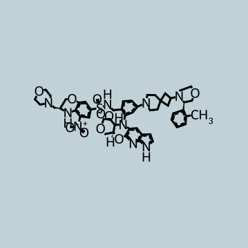 Cc1ccccc1[C@@H]1COCCN1C1CC2(CCN(c3ccc(C(=O)NS(=O)(=O)c4cc5c(c([N+](=O)[O-])c4)N[C@@H](CN4CCOCC4)CO5)c(N4c5cc6cc[nH]c6nc5O[C@H]5COCC[C@@H]54)c3)CC2)C1